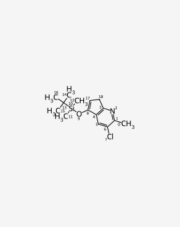 Cc1nc2c(cc1Cl)C(O[Si](C)(C)C(C)(C)C)=CC2